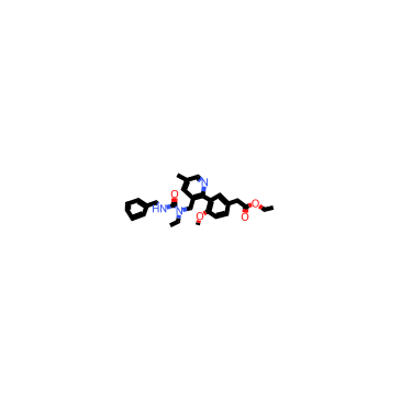 CCOC(=O)Cc1ccc(OC)c(-c2ncc(C)cc2CN(CC)C(=O)NCc2ccccc2)c1